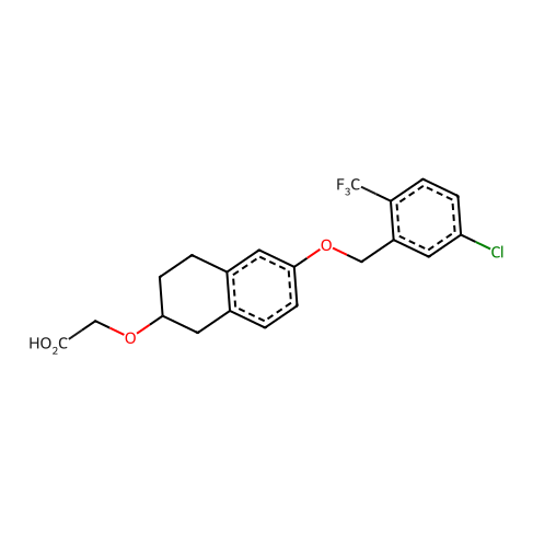 O=C(O)COC1CCc2cc(OCc3cc(Cl)ccc3C(F)(F)F)ccc2C1